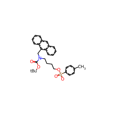 Cc1ccc(S(=O)(=O)OCCCCN(Cc2c3ccccc3cc3ccccc23)C(=O)OC(C)(C)C)cc1